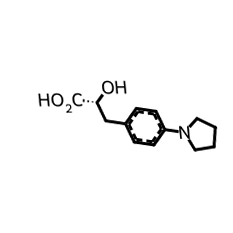 O=C(O)[C@H](O)Cc1ccc(N2CCCC2)cc1